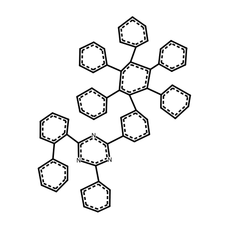 c1ccc(-c2nc(-c3cccc(-c4c(-c5ccccc5)c(-c5ccccc5)c(-c5ccccc5)c(-c5ccccc5)c4-c4ccccc4)c3)nc(-c3ccccc3-c3ccccc3)n2)cc1